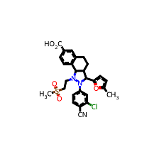 Cc1ccc(C2C3CCc4cc(C(=O)O)ccc4C3N(CCS(C)(=O)=O)N2c2ccc(C#N)c(Cl)c2)o1